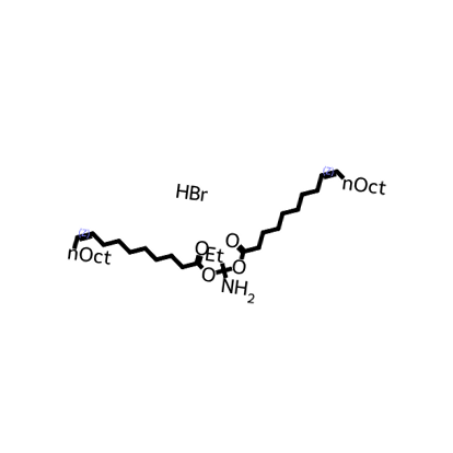 Br.CCCCCCCC/C=C\CCCCCCCC(=O)OC(N)(CC)OC(=O)CCCCCCC/C=C\CCCCCCCC